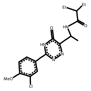 CCC(CC)C(=O)NC(C)c1nnc(-c2ccc(OC)c(Cl)c2)[nH]c1=O